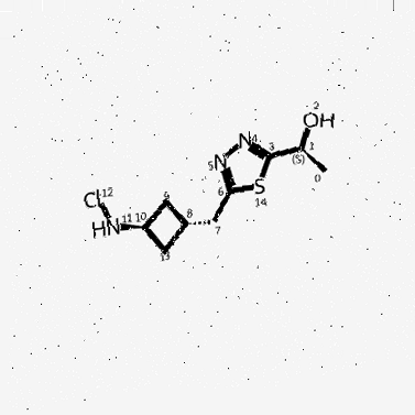 C[C@H](O)c1nnc(C[C@H]2C[C@H](NCl)C2)s1